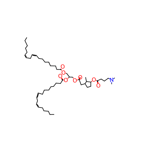 CCCCC/C=C\C/C=C\CCCCCCCC(=O)OCC(COC(=O)CC1CCC(OC(=O)CCCN(C)C)C1C)OC(=O)CCCCCCC/C=C\C/C=C\CCCCC